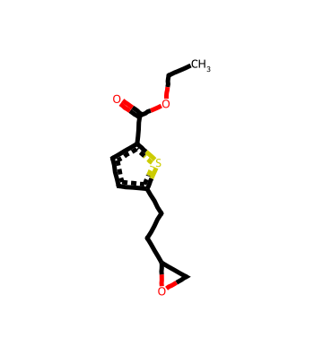 CCOC(=O)c1ccc(CCC2CO2)s1